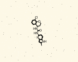 Cc1cc2nc(NC(=O)N[C@H]3CCOc4c(Cl)cccc43)ccc2[nH]1